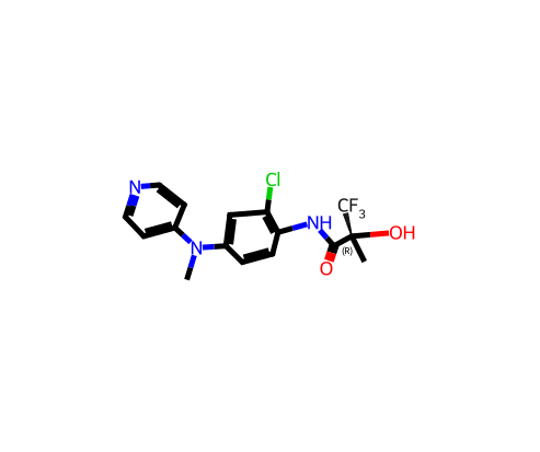 CN(c1ccncc1)c1ccc(NC(=O)[C@@](C)(O)C(F)(F)F)c(Cl)c1